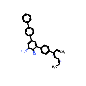 C=C/C(=C\C=C/C)c1ccc(C2=CC(c3ccc(-c4ccccc4)cc3)=CC(N)C2=N)cc1